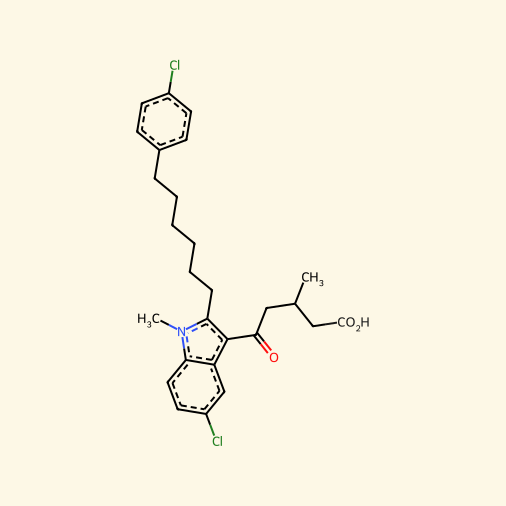 CC(CC(=O)O)CC(=O)c1c(CCCCCCc2ccc(Cl)cc2)n(C)c2ccc(Cl)cc12